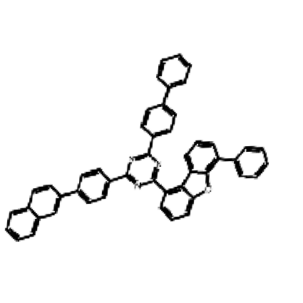 c1ccc(-c2ccc(-c3nc(-c4ccc(-c5ccc6ccccc6c5)cc4)nc(-c4cccc5oc6c(-c7ccccc7)cccc6c45)n3)cc2)cc1